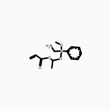 C=CC(=O)OC(C)O[Si](CN)(OC)c1ccccc1